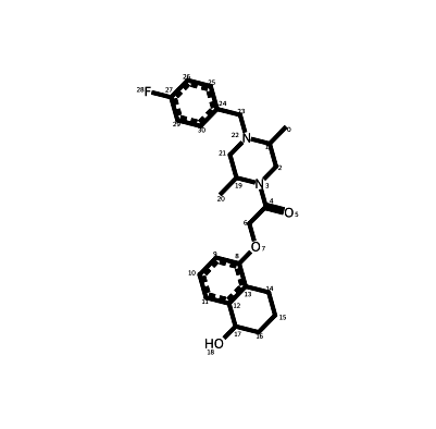 CC1CN(C(=O)COc2cccc3c2CCCC3O)C(C)CN1Cc1ccc(F)cc1